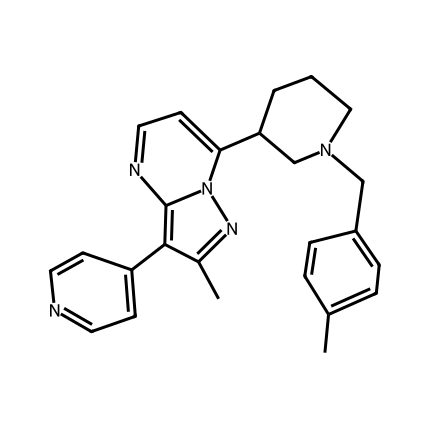 Cc1ccc(CN2CCCC(c3ccnc4c(-c5ccncc5)c(C)nn34)C2)cc1